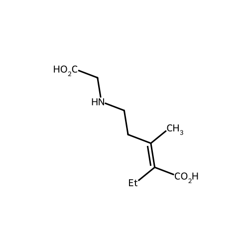 CCC(C(=O)O)=C(C)CCNCC(=O)O